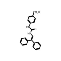 O=C(NC=C(c1ccccc1)c1ccccc1)Nc1ccc(C(=O)O)cc1